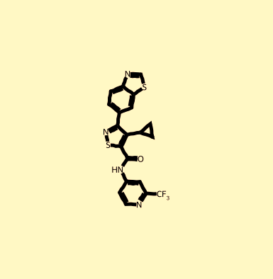 O=C(Nc1ccnc(C(F)(F)F)c1)c1snc(-c2ccc3ncsc3c2)c1C1CC1